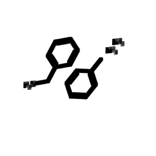 Cc1ccccc1.N.N.NCc1ccccc1